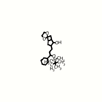 CC(C)(C)[Si](C)(C)OC(CCC1CC2C(CC23OCCO3)C1O)C1CCCCC1